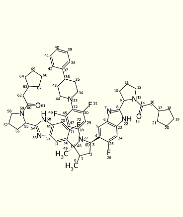 CC1C[C@H](c2cc3nc(C4CCCN4C(=O)[CH]C4CCCC4)[nH]c3cc2F)N(c2cc(F)c(N3CCC(c4ccccc4)CC3)c(F)c2)[C@]1(C)c1cc2nc(C3CCCN3C(=O)[CH]C3CCCC3)[nH]c2cc1F